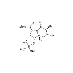 COC(=O)[C@@H]1C[C@@H](O[Si](C)(C)C(C)(C)C)[C@H]2CN(C(C)=O)[C@H](C(C)C)C(=O)N21